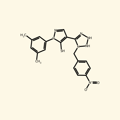 Cc1cc(C)cc(-n2ncc(C3=NNNN3Cc3ccc([N+](=O)[O-])cc3)c2S)c1